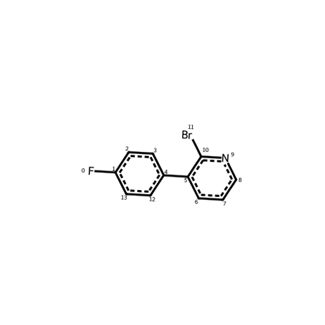 Fc1ccc(-c2cccnc2Br)cc1